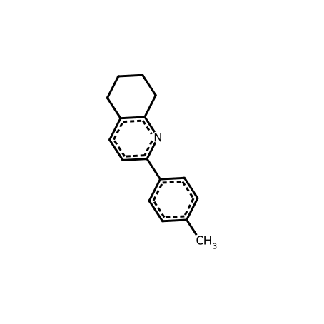 Cc1ccc(-c2ccc3c(n2)CCCC3)cc1